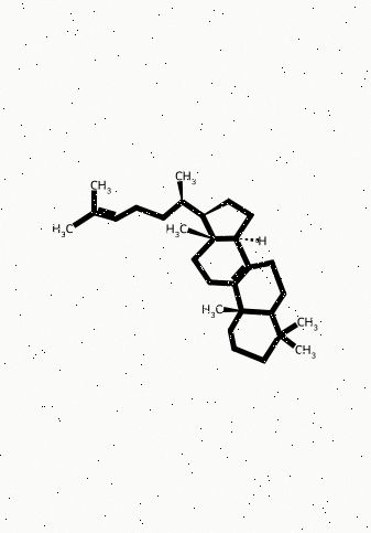 CC(C)=CCC[C@@H](C)[C@H]1CC[C@H]2C3=C(CC[C@]12C)[C@@]1(C)CCCC(C)(C)C1CC3